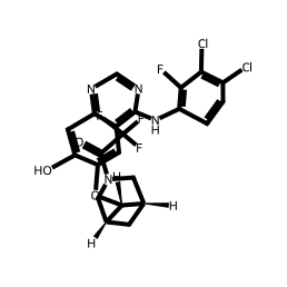 O=C(N1C[C@H]2C[C@@H](C1)[C@H]2Oc1cc2c(Nc3ccc(Cl)c(Cl)c3F)ncnc2cc1O)C(F)(F)F